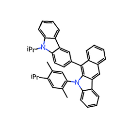 Cc1cc(-n2c3ccccc3c3cc4ccccc4c(-c4ccc5c(c4)c4ccccc4n5C(C)C)c32)c(C)cc1C(C)C